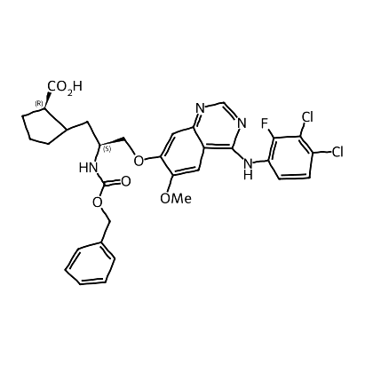 COc1cc2c(Nc3ccc(Cl)c(Cl)c3F)ncnc2cc1OC[C@H](CC1CCC[C@H]1C(=O)O)NC(=O)OCc1ccccc1